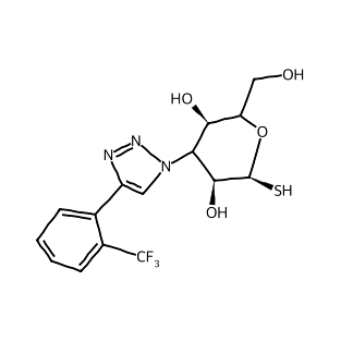 OCC1O[C@@H](S)[C@@H](O)C(n2cc(-c3ccccc3C(F)(F)F)nn2)[C@H]1O